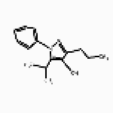 CCCc1nn(-c2ccccc2)c(C(C)C)c1O